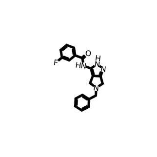 O=C(Nc1[nH]nc2c1CN(Cc1ccccc1)C2)c1cccc(F)c1